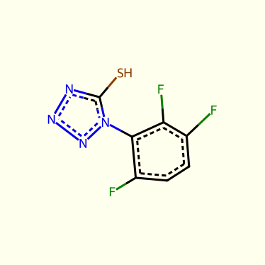 Fc1ccc(F)c(-n2nnnc2S)c1F